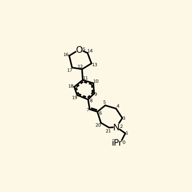 CC(C)CN1CCCC(=Cc2ccc(C3CCOCC3)cc2)CC1